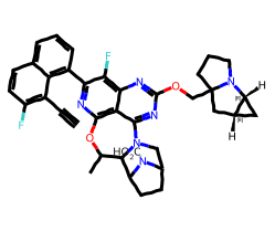 C#Cc1c(F)ccc2cccc(-c3nc4c5c(nc(OCC67CCCN6[C@@H]6C[C@@H]6C7)nc5c3F)N3CC5CCC(C3C(C)O4)N5C(=O)O)c12